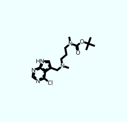 CN(CCCN(C)C(=O)OC(C)(C)C)Cc1c[nH]c2ncnc(Cl)c12